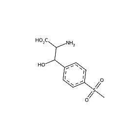 CS(=O)(=O)c1ccc(C(O)C(N)C(=O)O)cc1